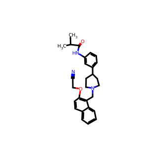 CC(C)C(=O)Nc1cccc(C2CCN(Cc3c(OCC#N)ccc4ccccc34)CC2)c1